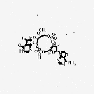 CO[C@@H]1COP(=O)(S)O[C@H]2[C@@H](F)[C@H](n3cnc4c(N)ncnc43)O[C@@H]2COP(=O)(O)O[C@@H](n2cc(F)c3c(=O)[nH]cnc32)[C@@H]1O